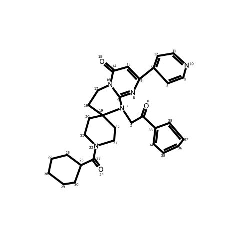 O=C(CN1c2nc(-c3ccncc3)cc(=O)n2CCC12CCN(C(=O)C1CCCCC1)CC2)c1ccccc1